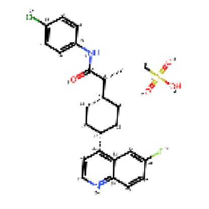 CS(=O)(=O)O.C[C@@H](C(=O)Nc1ccc(Cl)cc1)[C@H]1CC[C@@H](c2ccnc3ccc(F)cc32)CC1